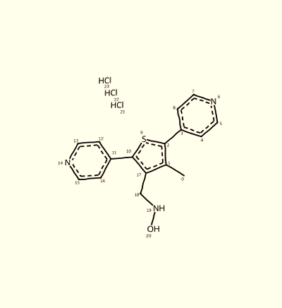 Cc1c(-c2ccncc2)sc(-c2ccncc2)c1CNO.Cl.Cl.Cl